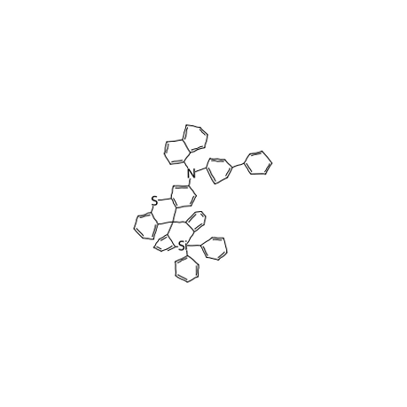 c1ccc(-c2ccc(N(c3ccc4c(c3)Sc3ccccc3C43c4ccccc4[Si](c4ccccc4)(c4ccccc4)c4ccccc43)c3cccc4ccccc34)cc2)cc1